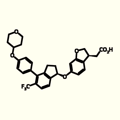 O=C(O)C[C@@H]1COc2cc(O[C@@H]3CCc4c3ccc(C(F)(F)F)c4-c3ccc(OC4CCOCC4)cc3)ccc21